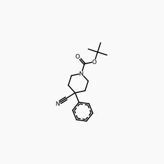 CC(C)(C)OC(=O)N1CCC(C#N)(c2ccccc2)CC1